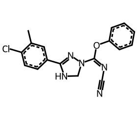 Cc1cc(C2=NN(/C(=N\C#N)Oc3ccccc3)CN2)ccc1Cl